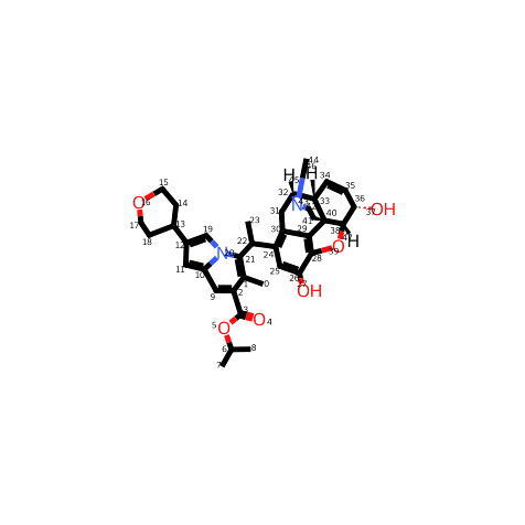 Cc1c(C(=O)OC(C)C)cc2cc(C3CCOCC3)cn2c1C(C)c1cc(O)c2c3c1C[C@@H]1[C@@H]4C=C[C@H](O)[C@H](O2)[C@]34CCN1C